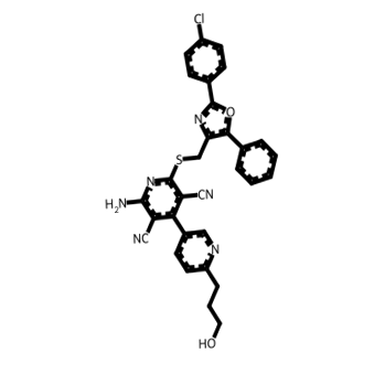 N#Cc1c(N)nc(SCc2nc(-c3ccc(Cl)cc3)oc2-c2ccccc2)c(C#N)c1-c1ccc(CCCO)nc1